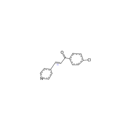 O=C(/C=C/c1ccncc1)c1ccc(Cl)cc1